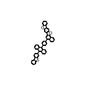 c1ccc2c(c1)oc1cc3c(cc12)oc1c2ccccc2c(-c2ccc(-c4c5ccccc5c(-c5ccc6c(c5)sc5ccccc56)c5ccccc45)cc2)cc31